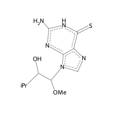 COC(C(O)C(C)C)n1cnc2c(=S)[nH]c(N)nc21